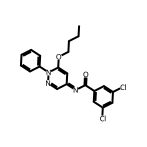 CCCCOc1c/c(=N\C(=O)c2cc(Cl)cc(Cl)c2)cnn1-c1ccccc1